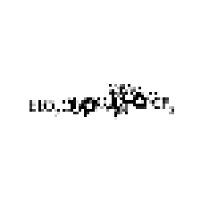 CCOC(=O)C(C)(C)Oc1ccc(OCc2c(C)nc(-c3ccc(OC(F)(F)F)cc3)nc2COC)cc1C